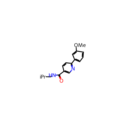 COc1cccc(-c2ccc(C(=O)NCC(C)C)cn2)c1